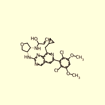 C=CC(O)N[C@H]1COC[C@H]1Nc1ncc2cc(-c3c(Cl)c(OC)cc(OC)c3Cl)nc(CC3CC3)c2n1